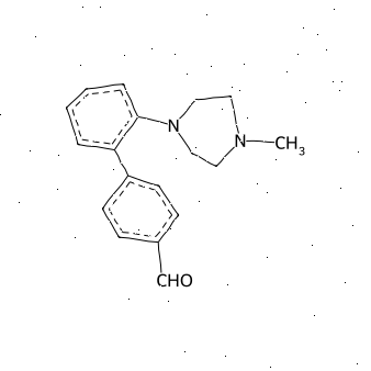 CN1CCN(c2ccccc2-c2ccc(C=O)cc2)CC1